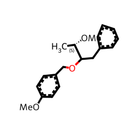 COc1ccc(COC(Cc2ccccc2)[C@H](C)OC)cc1